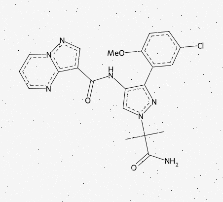 COc1ccc(Cl)cc1-c1nn(C(C)(C)C(N)=O)cc1NC(=O)c1cnn2cccnc12